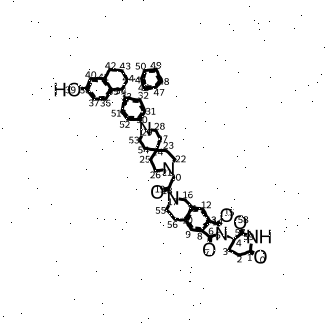 O=C1CC[C@@H](N2C(=O)c3cc4c(cc3C2=O)CN(C(=O)CN2CCC3(CC2)CCN(c2ccc([C@@H]5c6ccc(O)cc6CC[C@@H]5c5ccccc5)cc2)CC3)CC4)C(=O)N1